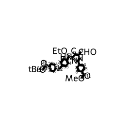 CCOC(=O)c1c(C=O)nc(-c2ccc(C(=O)OC)cc2)nc1Nc1ccc(CN2CCN(C(=O)OC(C)(C)C)CC2)cc1